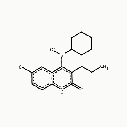 CCCc1c([S+]([O-])C2CCCCC2)c2cc(Cl)ccc2[nH]c1=O